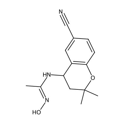 CC(=NO)NC1CC(C)(C)Oc2ccc(C#N)cc21